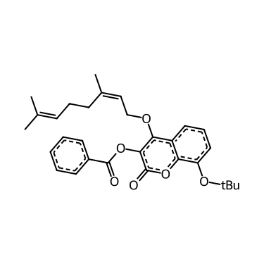 CC(C)=CCCC(C)=CCOc1c(OC(=O)c2ccccc2)c(=O)oc2c(OC(C)(C)C)cccc12